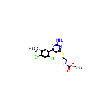 CC(C)(C)OC(=O)NCCSc1cc(-c2cc(C(=O)O)c(Cl)cc2Cl)nc(N)n1